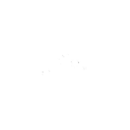 Cc1ccc(S(=O)(=O)N[C@@H](C)C(=O)OCc2ccccc2)cc1